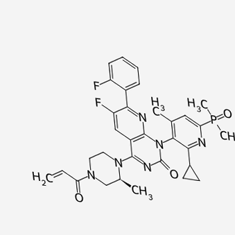 C=CC(=O)N1CCN(c2nc(=O)n(-c3c(C)cc(P(C)(C)=O)nc3C3CC3)c3nc(-c4ccccc4F)c(F)cc23)[C@@H](C)C1